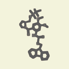 COc1cc(NC(=O)OCC2c3ccccc3-c3ccccc32)c(C(=O)N2CCC[C@H]2CO[Si](C)(C)C(C)(C)C)cc1OC